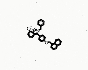 FC(F)(F)c1cccc2c(-c3ccc(OCc4cccc5ccccc45)cc3)n(Cc3ccccc3)nc12